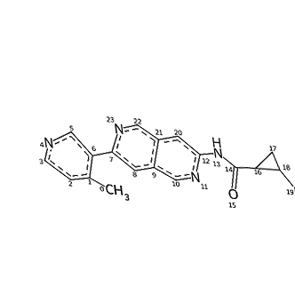 Cc1ccncc1-c1cc2cnc(NC(=O)C3CC3F)cc2cn1